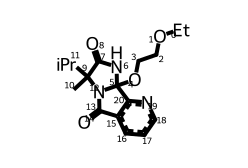 CCOCCOC12NC(=O)C(C)(C(C)C)N1C(=O)c1cccnc12